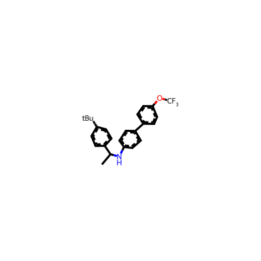 CC(Nc1ccc(-c2ccc(OC(F)(F)F)cc2)cc1)c1ccc(C(C)(C)C)cc1